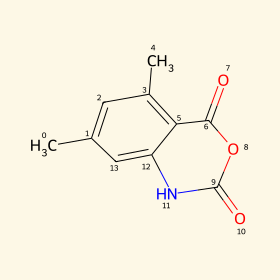 Cc1cc(C)c2c(=O)oc(=O)[nH]c2c1